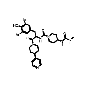 CNC(=O)NC1CCN(C(=O)N[C@H](Cc2cc(Br)c(O)c(Br)c2)C(=O)N2CCC(c3ccncc3)CC2)CC1